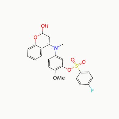 COc1ccc(N(C)C2=CC(O)Oc3ccccc32)cc1OS(=O)(=O)c1ccc(F)cc1